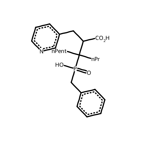 CCCCCC(CCC)(C(Cc1cccnc1)C(=O)O)P(=O)(O)Cc1ccccc1